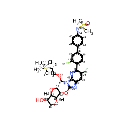 C=S(C)(C)(C)CCOCn1c(O[C@@H]2CO[C@H]3[C@@H]2OC[C@H]3O)nc2cc(Cl)c(-c3ccc(-c4ccc(N=S(C)(C)=O)cc4)cc3F)nc21